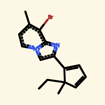 CCC1(C)C=CC=C1c1cn2ccc(C)c(Br)c2n1